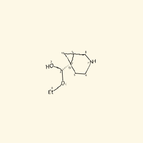 CCOC(O)[C@@]12CCNCC1C2